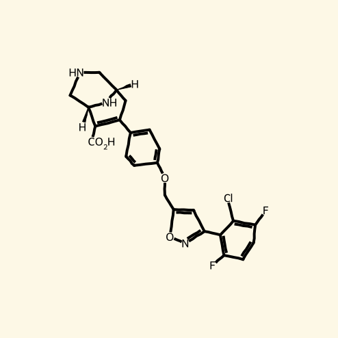 O=C(O)C1=C(c2ccc(OCc3cc(-c4c(F)ccc(F)c4Cl)no3)cc2)C[C@H]2CNC[C@@H]1N2